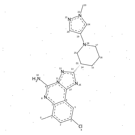 Cc1cc(Cl)cc2c1nc(N)n1nc([C@H]3CCCN(c4cnn(C)c4)C3)nc21